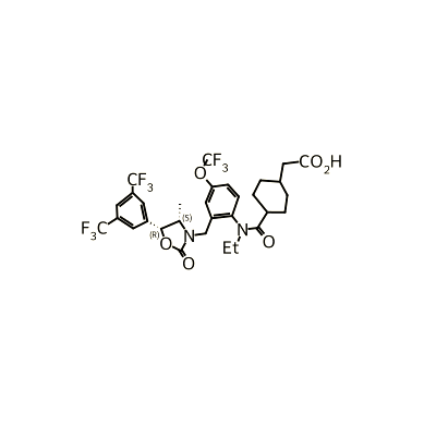 CCN(C(=O)C1CCC(CC(=O)O)CC1)c1ccc(OC(F)(F)F)cc1CN1C(=O)O[C@H](c2cc(C(F)(F)F)cc(C(F)(F)F)c2)[C@@H]1C